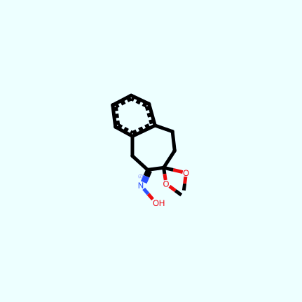 COC1(OC)CCc2ccccc2C/C1=N/O